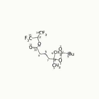 CCC(C)C(=O)OC(C)(C)CCCC(=O)OC(C(F)(F)F)C(F)(F)F